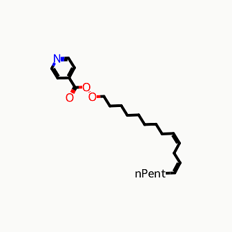 CCCCC/C=C\C/C=C\CCCCCCCCOOC(=O)c1ccncc1